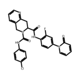 O=C(Nc1ccc(-n2ccccc2=O)cc1F)C1Cc2ncccc2CN1C(=O)Nc1ccc(Cl)cc1